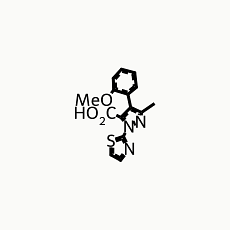 COc1ccccc1-c1c(C)nn(-c2nccs2)c1C(=O)O